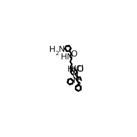 Cl.Nc1cccc(C(=O)NCCCCN2CCN(C3=CC=S(c4ccccc4)N3c3ccccc3)CC2)c1.O